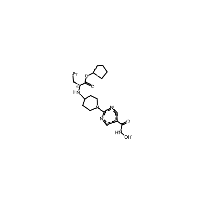 CC(C)C[C@H](NC1CCN(c2ncc(C(=O)NO)cn2)CC1)C(=O)OC1CCCC1